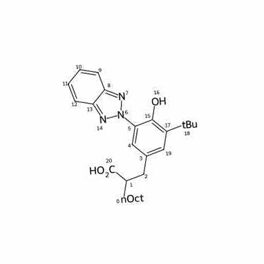 CCCCCCCCC(Cc1cc(-n2nc3ccccc3n2)c(O)c(C(C)(C)C)c1)C(=O)O